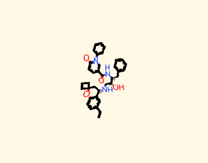 CCc1ccc2c(c1)[C@@H](NC[C@@H](O)[C@H](Cc1ccccc1)NC(=O)c1ccc(=O)n(-c3ccccc3)c1)CC1(CCC1)O2